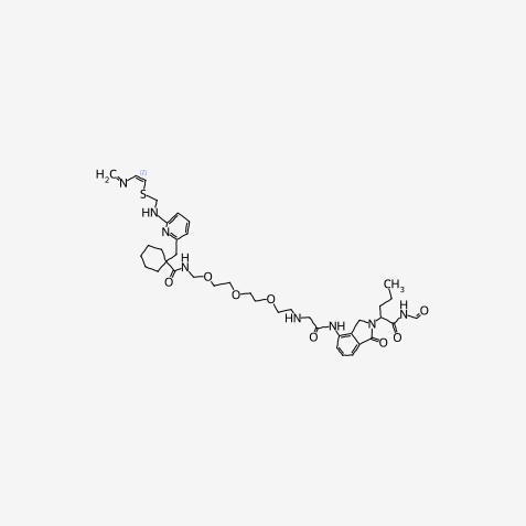 C=N/C=C\SCNc1cccc(CC2(C(=O)NCOCCOCCOCCNCC(=O)Nc3cccc4c3CN(C(CCC)C(=O)NC=O)C4=O)CCCCC2)n1